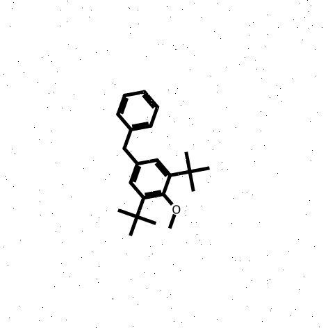 COc1c(C(C)(C)C)cc(Cc2ccccc2)cc1C(C)(C)C